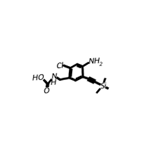 C[Si](C)(C)C#Cc1cc(CNC(=O)O)c(Cl)cc1N